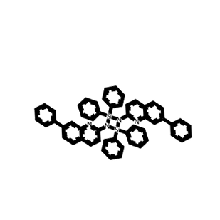 c1ccc(-c2ccc3ccc(N4[Si](c5ccccc5)(c5ccccc5)N(c5ccc6ccc(-c7ccccc7)cc6n5)[Si]4(c4ccccc4)c4ccccc4)nc3c2)cc1